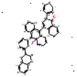 IC12C=CC=CC1=C(C1=CC3C4=C(CCC=C4)OC3C3=C1CCC=C3)C1=C(C=CCC1)C2C1C=CC=C(C2CCC3C=CC=CC3C2)C1